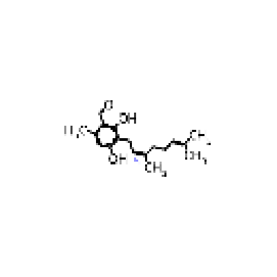 CC(C)=CCC/C(C)=C\Cc1c(O)cc(C)c(C=O)c1O